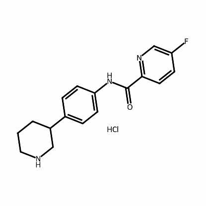 Cl.O=C(Nc1ccc(C2CCCNC2)cc1)c1ccc(F)cn1